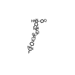 COc1ccc(-c2n[nH]c3cc4cnc([C@@H]5CCN(CC(=O)N6CCN(c7ccc(-c8ncc(F)cn8)cc7)CC6)C5)nc4cc23)cc1